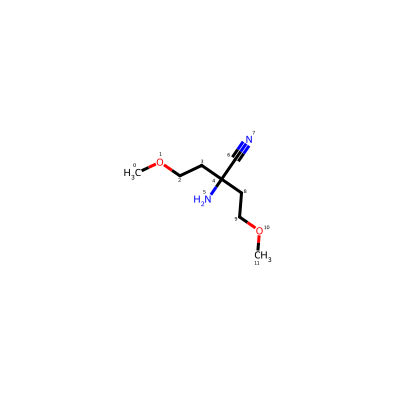 COCCC(N)(C#N)CCOC